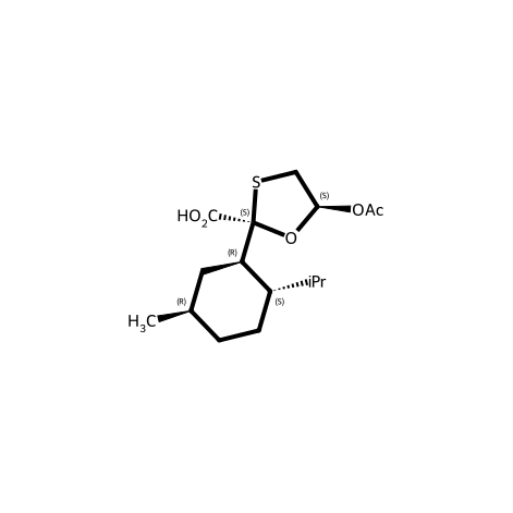 CC(=O)O[C@@H]1CS[C@](C(=O)O)([C@@H]2C[C@H](C)CC[C@H]2C(C)C)O1